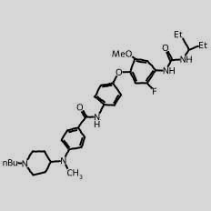 CCCCN1CCC(N(C)c2ccc(C(=O)Nc3ccc(Oc4cc(F)c(NC(=O)NC(CC)CC)cc4OC)cc3)cc2)CC1